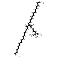 CCCCCCCCCCCCCCCCCC(=O)C(CCCCCCCCCCCCCC)C(=O)[P-]OCC[N+](C)(C)C